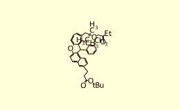 CCC(=O)COC(C)(C)CC1=CC=C=C2Oc3ccc4cc(CCC(=O)OC(C)(C)C)ccc4c3C(c3cccc(C)c3)C2=C1C